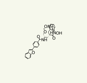 COCOC[C@H](C[C@H](Cc1ccccn1)C(=O)NO)NC(=O)c1ccc(-c2cc3ccccc3o2)cc1